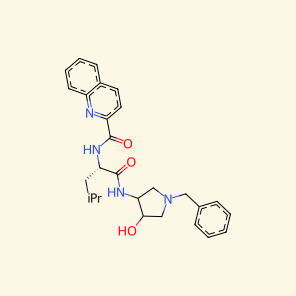 CC(C)C[C@H](NC(=O)c1ccc2ccccc2n1)C(=O)NC1CN(Cc2ccccc2)CC1O